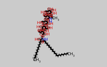 CCCCCCCC/C=C\CCCCCCCCCCCCCC(=O)N[C@@H](CO[C@@H]1OC(CO)[C@@H](O[C@@H]2OC(CO)[C@H](O[C@@H]3OC(CO)[C@H](O)[C@H](O[C@@H]4OC(CO)[C@H](O)[C@H](O[C@@H]5OC(CO)[C@H](O)[C@H](O)C5O)C4NC(C)=O)C3O)[C@H](O)C2O)[C@H](O)C1O)[C@H](O)/C=C/CCCCCCCCCCCCC